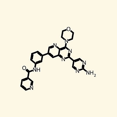 Nc1ncc(-c2nc(N3CCOCC3)c3ncc(-c4cccc(NC(=O)c5cccnc5)c4)cc3n2)cn1